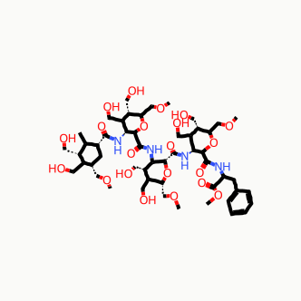 COCC1OC(C(=O)NC2[C@@H](CO)C(CO)[C@@H](COC)O[C@H]2C(=O)N[C@H]2C(C(=O)NC(Cc3ccccc3)C(=O)OC)OC(COC)[C@@H](CO)C2CO)[C@H](NC(=O)[C@@H]2C[C@H](COC)C(CO)[C@H](CO)C2C)C(CO)[C@@H]1CO